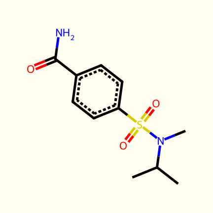 CC(C)N(C)S(=O)(=O)c1ccc(C(N)=O)cc1